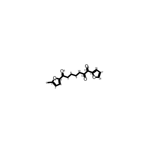 Cc1ccc(C(=O)CCCCC(=O)C(=O)c2ccco2)o1